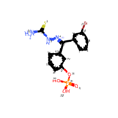 NC(=S)N/N=C(/c1cccc(Br)c1)c1cccc(OP(=O)(O)O)c1